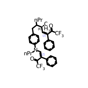 CCCC(Cc1ccc(N(/C=C(\C(=O)C(F)(F)F)c2ccccc2)CCC)cc1)[C@@H](C)/C=C(\C(=O)C(F)(F)F)c1ccccc1